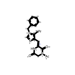 CC(=O)N1CC(=O)N/C(=C\c2ncn(Cc3ccccc3)c2C(C)C)C1=O